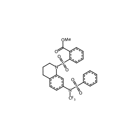 COC(=O)c1ccccc1S(=O)(=O)N1CCCc2ccc(N(C(F)(F)F)S(=O)(=O)c3ccccc3)cc21